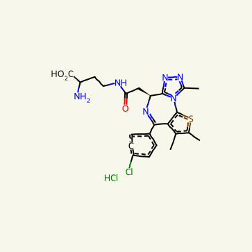 Cc1sc2c(c1C)C(c1ccc(Cl)cc1)=N[C@@H](CC(=O)NCCC(N)C(=O)O)c1nnc(C)n1-2.Cl